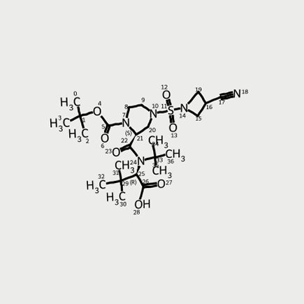 CC(C)(C)OC(=O)N1CCN(S(=O)(=O)N2CC(C#N)C2)C[C@H]1C(=O)N([C@@H](C(=O)O)C(C)(C)C)C(C)(C)C